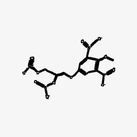 COc1c([N+](=O)[O-])cc(OCC(CO[N+](=O)[O-])O[N+](=O)[O-])cc1[N+](=O)[O-]